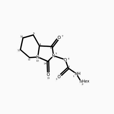 CCCCCCNC(=O)ON1C(=O)C2CCCCN2C1=O